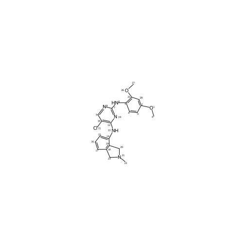 COc1ccc(Nc2ncc(Cl)c(Nc3cccc4c3CN(C)C4)n2)c(OC)c1